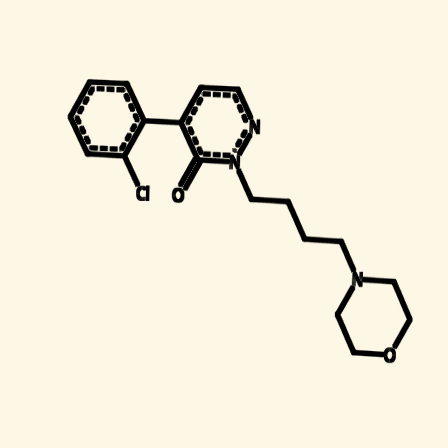 O=c1c(-c2ccccc2Cl)ccnn1CCCCN1CCOCC1